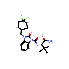 CC(C)(C)[C@H](NC(=O)n1c(=O)n(CC2CCC(F)(F)CC2)c2ccccc21)C(N)=O